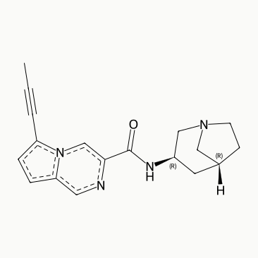 CC#Cc1ccc2cnc(C(=O)N[C@@H]3C[C@H]4CCN(C4)C3)cn12